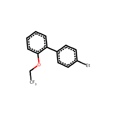 CCc1ccc(-c2ccccc2OCC(F)(F)F)cc1